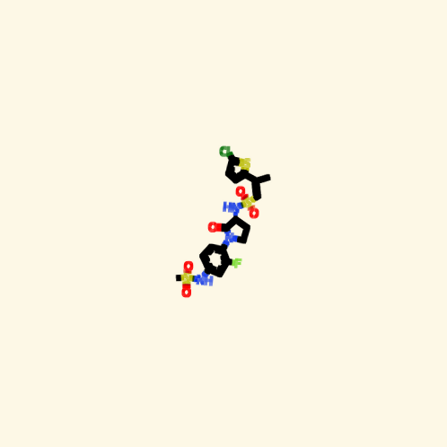 C/C(=C/S(=O)(=O)N[C@H]1CCN(c2ccc(NS(C)(=O)=O)cc2F)C1=O)c1ccc(Cl)s1